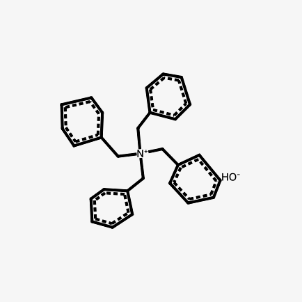 [OH-].c1ccc(C[N+](Cc2ccccc2)(Cc2ccccc2)Cc2ccccc2)cc1